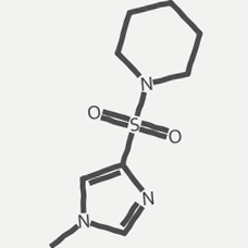 Cn1cnc(S(=O)(=O)N2CCCCC2)c1